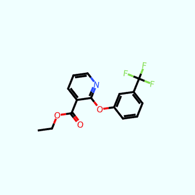 CCOC(=O)c1cccnc1Oc1cccc(C(F)(F)F)c1